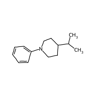 CC(C)C1CCN(c2ccccc2)CC1